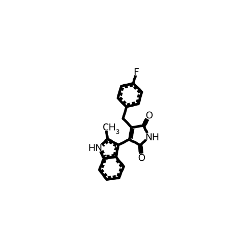 Cc1[nH]c2ccccc2c1C1=C(Cc2ccc(F)cc2)C(=O)NC1=O